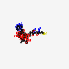 CC(C)(COP(=O)(O)OP(=O)(O)OC[C@H]1O[C@@H](n2cnc3c(N)ncnc32)[C@H](O)[C@@H]1OP(=O)(O)O)[C@@H](O)C(=O)NCCC(=O)NCCS.CC(CCC(=O)O)C(=O)O